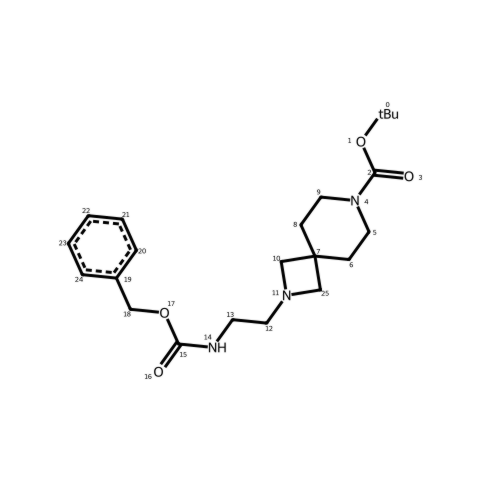 CC(C)(C)OC(=O)N1CCC2(CC1)CN(CCNC(=O)OCc1ccccc1)C2